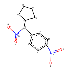 O=[N+]([O-])c1ccc(C(C2CCCC2)[N+](=O)[O-])cc1